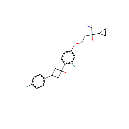 C[C@@H](N)C(O)(CCOc1ccc(C2(O)CC(c3ccc(Br)cc3)C2)c(Cl)c1)C1CC1